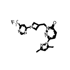 Cc1cc(C)n(-c2ccc(=O)n(CC3CN(c4cc(C(F)(F)F)ncn4)C3)n2)n1